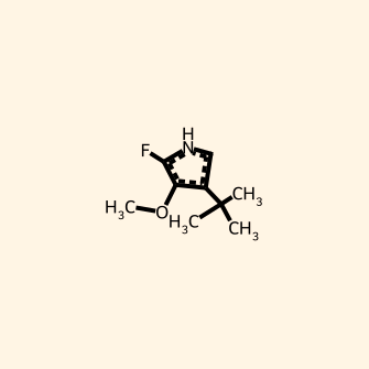 COc1c(C(C)(C)C)c[nH]c1F